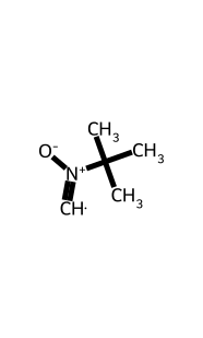 [CH]=[N+]([O-])C(C)(C)C